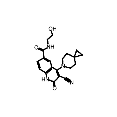 N#Cc1c(N2CCC3(CC2)CC3)c2cc(C(=O)NCCO)ccc2[nH]c1=O